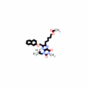 CC(=O)OCCCCCc1nc2c(=O)n(C)c(=O)n(CC(C)C)c2nc1COc1ccc2ccccc2c1